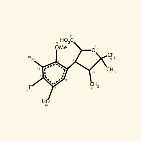 COc1c(C2C(C(=O)O)OC(C)(C(F)(F)F)C2C)cc(O)c(F)c1F